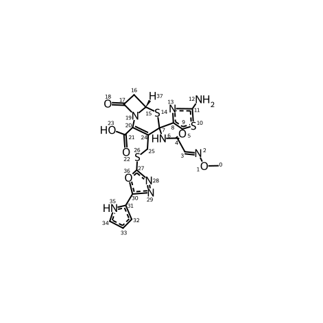 CON=CC(=O)NC1(c2csc(N)n2)S[C@H]2CC(=O)N2C(C(=O)O)=C1CSc1nnc(-c2ccc[nH]2)o1